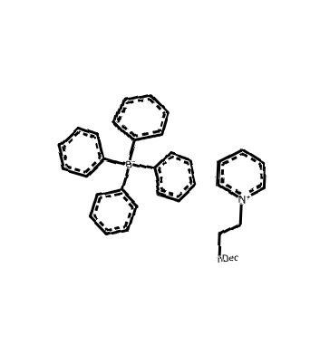 CCCCCCCCCCCC[n+]1ccccc1.c1ccc([B-](c2ccccc2)(c2ccccc2)c2ccccc2)cc1